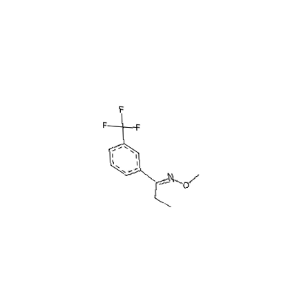 CCC(=NOC)c1cccc(C(F)(F)F)c1